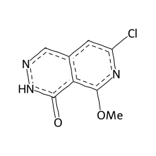 COc1nc(Cl)cc2cn[nH]c(=O)c12